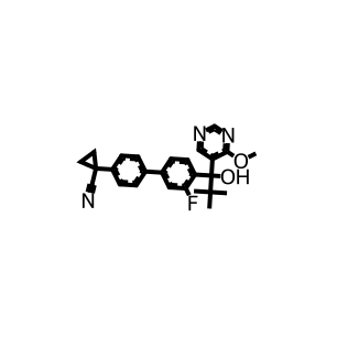 COc1ncncc1C(O)(c1ccc(-c2ccc(C3(C#N)CC3)cc2)cc1F)C(C)(C)C